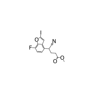 COC(=O)CCC(C#N)c1ccc(F)c2oc(I)cc12